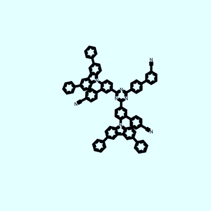 N#Cc1ccc(-c2cc(-c3nc(-c4ccc(-c5cccc(C#N)c5)cc4)nc(-c4ccc(-n5c6ccc(-c7ccccc7)cc6c6cc(-c7ccccc7)ccc65)c(-c5ccc(C#N)cc5)c4)n3)ccc2-n2c3ccc(-c4ccccc4)cc3c3cc(-c4ccccc4)ccc32)cc1